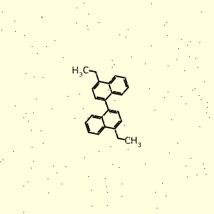 CCc1ccc(-c2ccc(CC)c3ccccc23)c2ccccc12